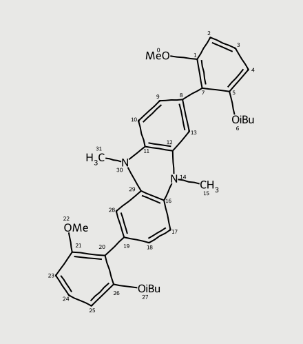 COc1cccc(OCC(C)C)c1-c1ccc2c(c1)N(C)c1ccc(-c3c(OC)cccc3OCC(C)C)cc1N2C